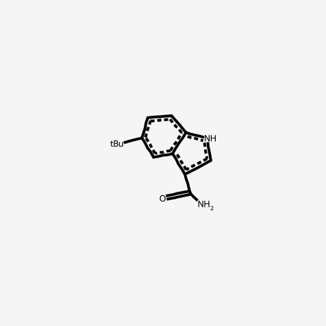 CC(C)(C)c1ccc2[nH]cc(C(N)=O)c2c1